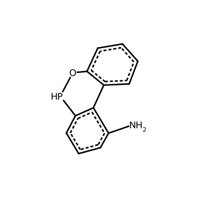 Nc1cccc2c1-c1ccccc1OP2